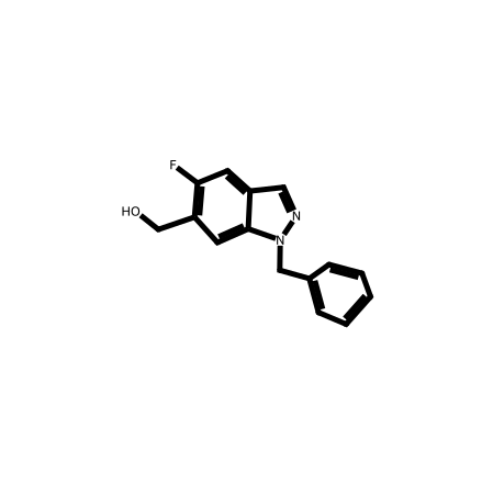 OCc1cc2c(cnn2Cc2ccccc2)cc1F